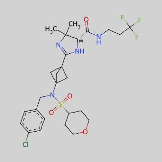 CC1(C)N=C(C23CC(N(Cc4ccc(Cl)cc4)S(=O)(=O)C4CCOCC4)(C2)C3)N[C@H]1C(=O)NCCC(F)(F)F